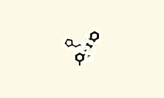 Cc1cccc(S(=O)(=O)Nc2nc3ccccc3nc2OCCC2CCCC2)c1